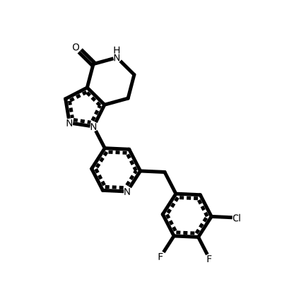 O=C1NCCc2c1cnn2-c1ccnc(Cc2cc(F)c(F)c(Cl)c2)c1